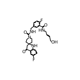 O=C(NC/C=C/CO)c1cc(CNC(=O)N2CCC3(CC2)CC(=O)c2cc(F)ccc2N3)ccc1F